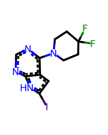 FC1(F)CCN(c2ncnc3[nH]c(I)cc23)CC1